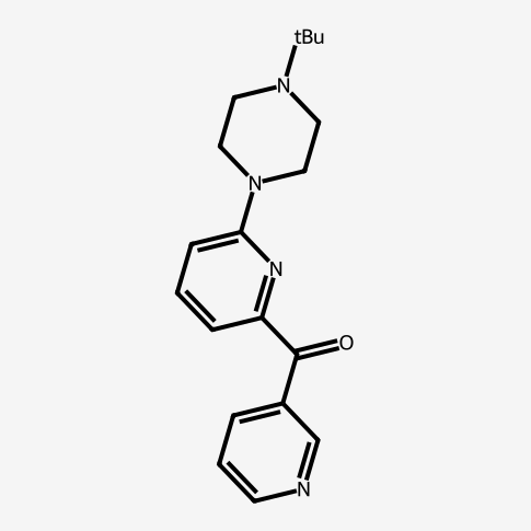 CC(C)(C)N1CCN(c2cccc(C(=O)c3cccnc3)n2)CC1